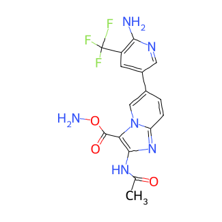 CC(=O)Nc1nc2ccc(-c3cnc(N)c(C(F)(F)F)c3)cn2c1C(=O)ON